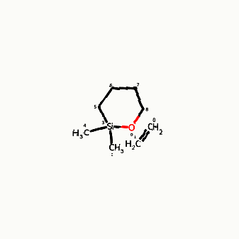 C=C.C[Si]1(C)CCCCO1